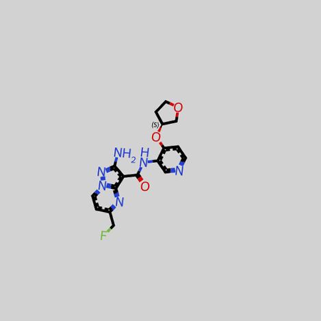 Nc1nn2ccc(CF)nc2c1C(=O)Nc1cnccc1O[C@H]1CCOC1